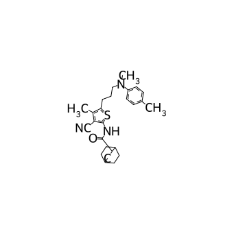 Cc1ccc(N(C)CCCc2sc(NC(=O)C3CC4CCC3CC4)c(C#N)c2C)cc1